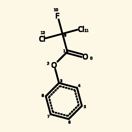 O=C(Oc1ccccc1)C(F)(Cl)Cl